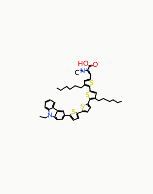 [C-]#[N+]/C(=C\c1cc(CCCCCC)c(-c2cc(CCCCCC)c(-c3ccc(-c4ccc(-c5ccc6c(c5)c5ccccc5n6CC)s4)s3)s2)s1)C(=O)O